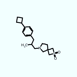 CC(Cc1ccc(C2CCC2)cc1)CN1CCC2(C1)CS(=O)(=O)C2